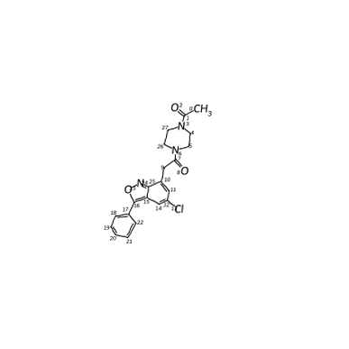 CC(=O)N1CCN(C(=O)Cc2cc(Cl)cc3c(-c4ccccc4)onc23)CC1